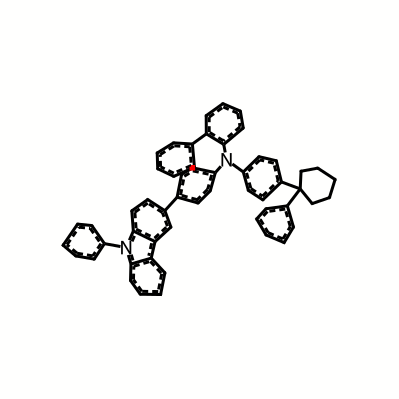 c1ccc(-c2ccccc2N(c2ccc(-c3ccc4c(c3)c3ccccc3n4-c3ccccc3)cc2)c2ccc(C3(c4ccccc4)CCCCC3)cc2)cc1